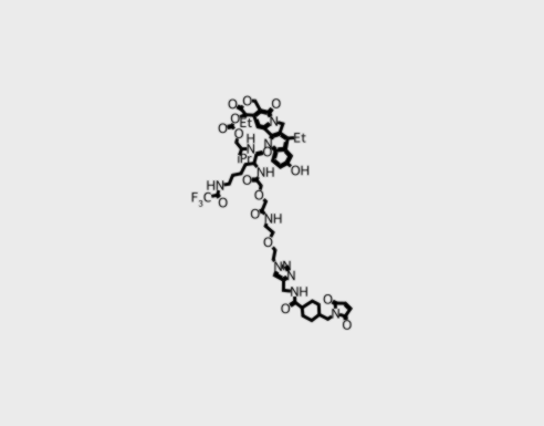 CCc1c2c(nc3ccc(O)cc13)-c1cc3c(c(=O)n1C2)COC(=O)C3(CC)OC(=O)OCC(NC(=O)C(CCCCNC(=O)C(F)(F)F)NC(=O)COCC(=O)NCCOCCn1cc(CNC(=O)C2CCC(CN3C(=O)C=CC3=O)CC2)nn1)C(C)C